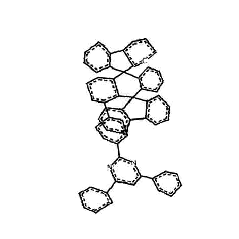 c1ccc(-c2cc(-c3ccccc3)nc(-c3ccc(-c4cccc5c4C4(c6ccccc6-c6ccccc64)c4ccccc4C54c5ccccc5-c5ccccc54)cc3)n2)cc1